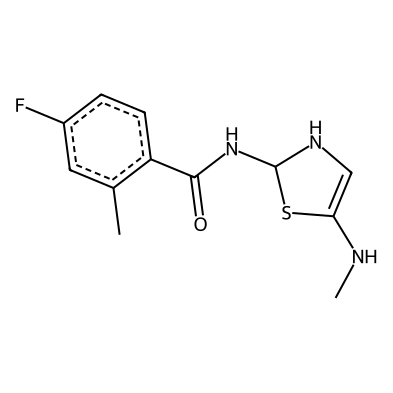 CNC1=CNC(NC(=O)c2ccc(F)cc2C)S1